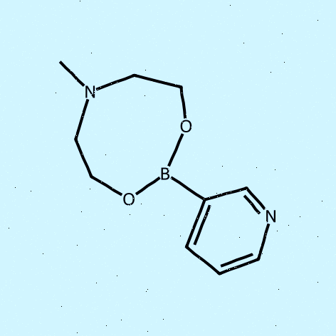 CN1CCOB(c2cccnc2)OCC1